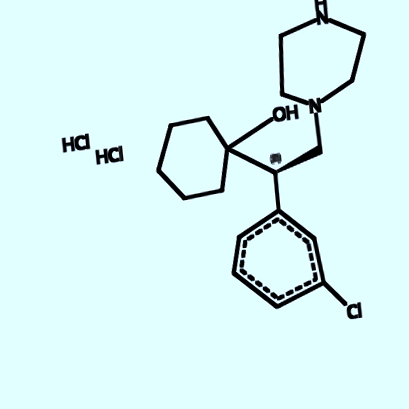 Cl.Cl.OC1([C@@H](CN2CCNCC2)c2cccc(Cl)c2)CCCCC1